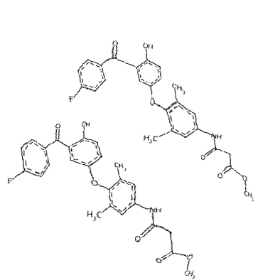 COC(=O)CC(=O)Nc1cc(C)c(Oc2ccc(O)c(C(=O)c3ccc(F)cc3)c2)c(C)c1.COC(=O)CC(=O)Nc1cc(C)c(Oc2ccc(O)c(C(=O)c3ccc(F)cc3)c2)c(C)c1